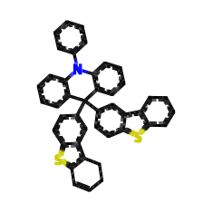 C1=Cc2sc3ccc(C4(c5ccc6sc7ccccc7c6c5)c5ccccc5N(c5ccccc5)c5ccccc54)cc3c2CC1